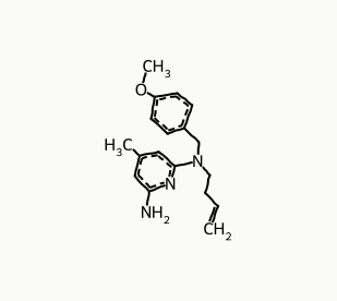 C=CCCN(Cc1ccc(OC)cc1)c1cc(C)cc(N)n1